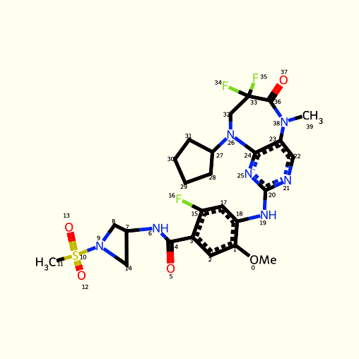 COc1cc(C(=O)NC2CN(S(C)(=O)=O)C2)c(F)cc1Nc1ncc2c(n1)N(C1CCCC1)CC(F)(F)C(=O)N2C